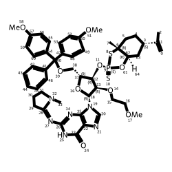 C=C(C)[C@H]1CC[C@@]2(C)S[P@@](=S)(O[C@H]3[C@@H](OCCOC)[C@H](n4cnc5c(=O)[nH]c(N=C6CCCN6C)nc54)O[C@@H]3COC(c3ccccc3)(c3ccc(OC)cc3)c3ccc(OC)cc3)O[C@@H]2C1